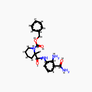 CC1(C(=O)Nc2cccc(C(N)=O)c2N)CCCCN1C(=O)OCc1ccccc1